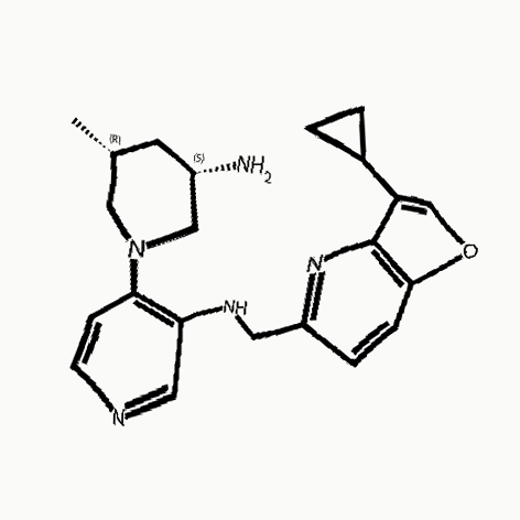 C[C@@H]1C[C@H](N)CN(c2ccncc2NCc2ccc3occ(C4CC4)c3n2)C1